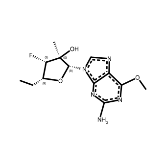 CC[C@H]1O[C@@H](n2cnc3c(OC)nc(N)nc32)[C@](C)(O)[C@H]1F